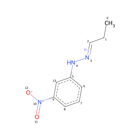 CC/C=N/Nc1cccc([N+](=O)[O-])c1